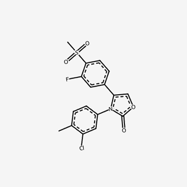 Cc1ccc(-n2c(-c3ccc(S(C)(=O)=O)c(F)c3)coc2=O)cc1Cl